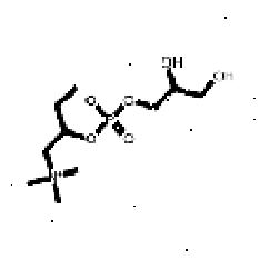 CCC(C[N+](C)(C)C)OP(=O)([O-])OCC(O)CO